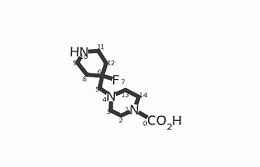 O=C(O)N1CCN(CC2(F)CCNCC2)CC1